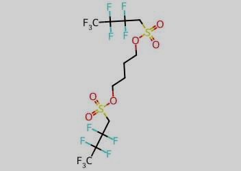 O=S(=O)(CC(F)(F)C(F)(F)C(F)(F)F)OCCCCOS(=O)(=O)CC(F)(F)C(F)(F)C(F)(F)F